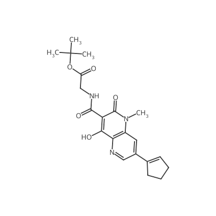 Cn1c(=O)c(C(=O)NCC(=O)OC(C)(C)C)c(O)c2ncc(C3=CCCC3)cc21